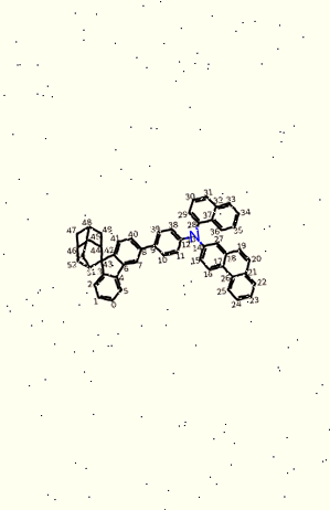 c1ccc2c(c1)-c1cc(-c3ccc(N(c4ccc5c(ccc6ccccc65)c4)c4cccc5ccccc45)cc3)ccc1C21C2CC3CC(C2)CC1C3